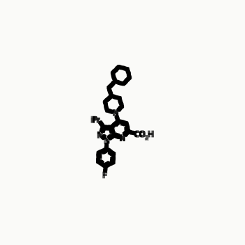 CC(C)c1nn(-c2ccc(F)cc2)c2nc(C(=O)O)cc(N3CCC(CC4CCCCC4)CC3)c12